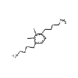 Cc1c(CCCCP)ccc(CCCCP)c1C